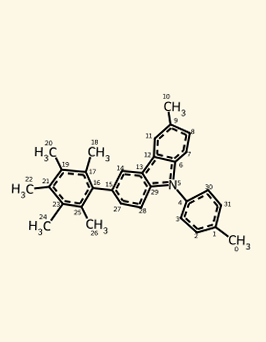 Cc1ccc(-n2c3ccc(C)cc3c3cc(-c4c(C)c(C)c(C)c(C)c4C)ccc32)cc1